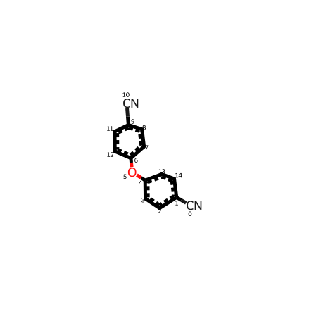 N#Cc1ccc(Oc2ccc(C#N)cc2)cc1